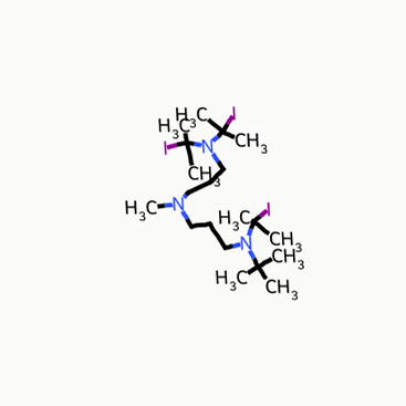 CN(CCCN(C(C)(C)C)C(C)(C)I)CCCN(C(C)(C)I)C(C)(C)I